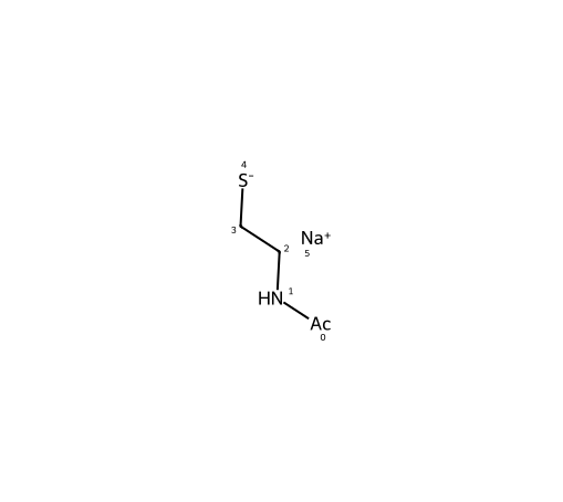 CC(=O)NCC[S-].[Na+]